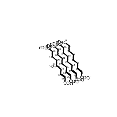 CCCCCCCCCCCCCCCC=CC(=O)[O-].CCCCCCCCCCCCCCCC=CC(=O)[O-].CCCCCCCCCCCCCCCC=CC(=O)[O-].CCCCCCCCCCCCCCCC=CC(=O)[O-].[Zr+4]